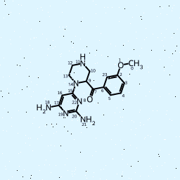 COc1cccc(C(=O)C2CNCCN2c2cc(N)nc(N)n2)c1